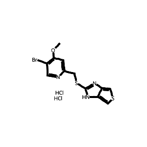 COc1cc(CSc2nc3cscc3[nH]2)ncc1Br.Cl.Cl